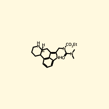 CCOC(=O)N(Cc1[nH]c2cccc3c2c1C[C@H]1NCCCC31)C(=O)N(C)C